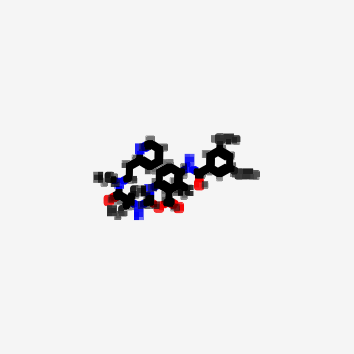 COc1cc(OC)cc(C(=O)Nc2ccc3nc(NC(C)(C)C(=O)N(C)CCc4ccccn4)oc(=O)c3c2C)c1